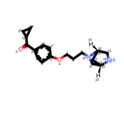 O=C(c1ccc(OCCCN2C[C@@H]3C[C@H]2CN3)cc1)C1CC1